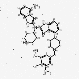 CCOc1cc(CN2CCC(c3cccc4oc(N(c5nc6c(N)cccc6o5)C5CCNCC5)nc34)CC2)cc(N)c1I